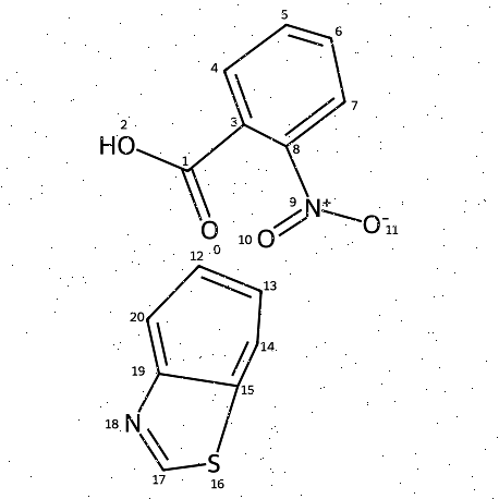 O=C(O)c1ccccc1[N+](=O)[O-].c1ccc2scnc2c1